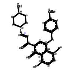 COc1ccc(Cn2cc(C(=O)/C=C/[C@H]3CC[C@H](O)CC3)c(=O)c3c(F)ccc(F)c32)cc1